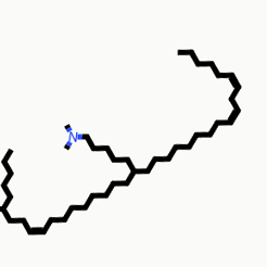 CCCCC/C=C\C/C=C\CCCCCCCCC(CCCCCCCC/C=C\CCC(C)CCCCC)CCCCCN(C)C